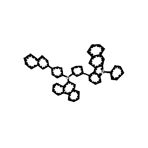 c1ccc(-n2c3cc4ccccc4cc3c3c(-c4cccc(N(c5ccc(-c6ccc7ccccc7c6)cc5)c5cc6ccccc6c6ccccc56)c4)cccc32)cc1